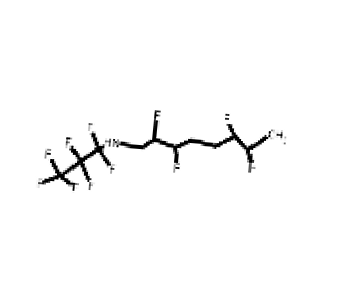 CC(F)C(F)CCC(F)C(F)CNC(F)(F)C(F)(F)C(F)(F)F